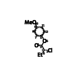 CCC(Cl)C(=O)Oc1ccc(OC)cc1